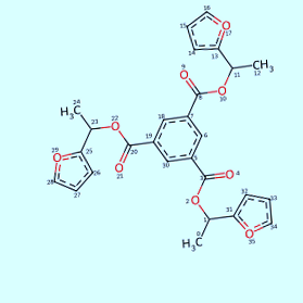 CC(OC(=O)c1cc(C(=O)OC(C)c2ccco2)cc(C(=O)OC(C)c2ccco2)c1)c1ccco1